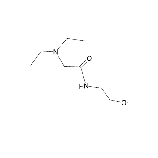 CCN(CC)CC(=O)NCC[O]